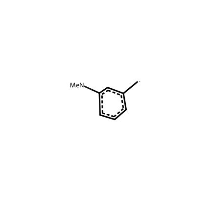 [CH2]c1cccc(NC)c1